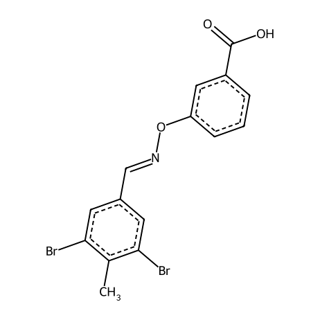 Cc1c(Br)cc(/C=N/Oc2cccc(C(=O)O)c2)cc1Br